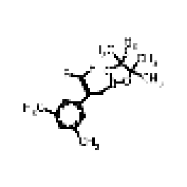 Cc1cc(C)cc(C(CB2OC(C)(C)C(C)(C)O2)=C(F)F)c1